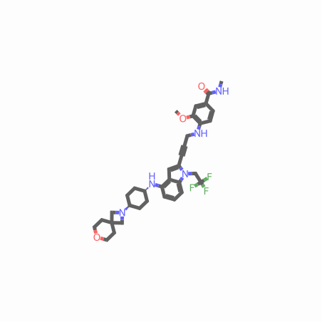 CNC(=O)c1ccc(NCC#Cc2cc3c(N[C@H]4CC[C@H](N5CC6(CCOCC6)C5)CC4)cccc3n2CC(F)(F)F)c(OC)c1